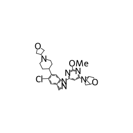 COc1nc(N2CC3CC2CO3)cc(-n2ncc3cc(Cl)c(C4CCN(C5COC5)CC4)cc32)n1